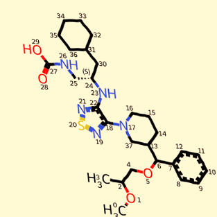 COC(C)COC(c1ccccc1)C1CCCN(c2nsnc2N[C@H](CNC(=O)O)CC2CCCCC2)C1